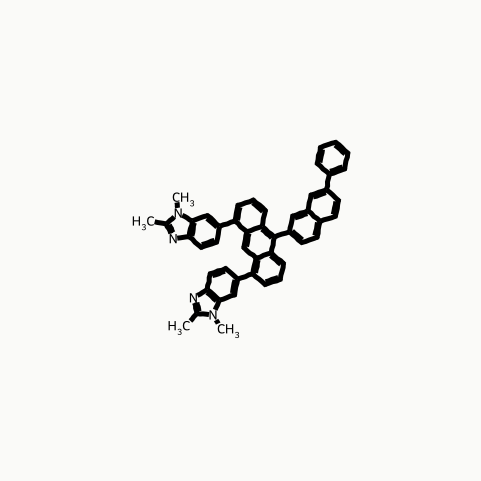 Cc1nc2ccc(-c3cccc4c(-c5ccc6ccc(-c7ccccc7)cc6c5)c5cccc(-c6ccc7nc(C)n(C)c7c6)c5cc34)cc2n1C